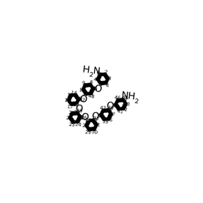 Nc1cccc(Oc2cccc(Oc3ccccc3Oc3ccccc3Oc3ccccc3Oc3cccc(Oc4cccc(N)c4)c3)c2)c1